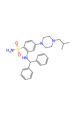 CC(C)CN1CCN(c2ccc(S(N)(=O)=O)c(NC(c3ccccc3)c3ccccc3)c2)CC1